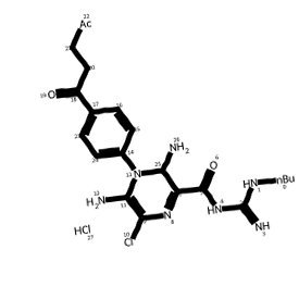 CCCCNC(=N)NC(=O)C1=NC(Cl)=C(N)N(c2ccc(C(=O)CCC(C)=O)cc2)C1N.Cl